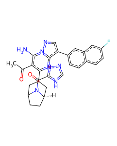 CC(=O)c1c(C2CC3CC[C@H](C2)N3C(=O)c2nnc[nH]2)nc2c(-c3ccc4ccc(F)cc4c3)cnn2c1N